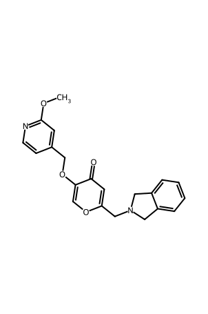 COc1cc(COc2coc(CN3Cc4ccccc4C3)cc2=O)ccn1